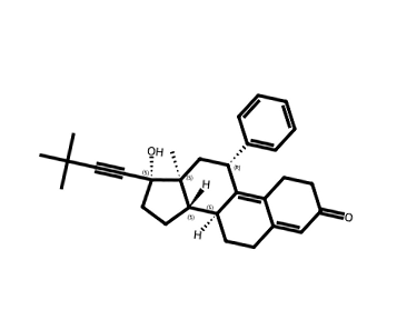 CC(C)(C)C#C[C@]1(O)CC[C@H]2[C@@H]3CCC4=CC(=O)CCC4=C3[C@@H](c3ccccc3)C[C@@]21C